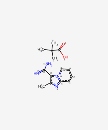 CC(C)(C)C(=O)O.Cc1nc2ccccn2c1C(=N)N